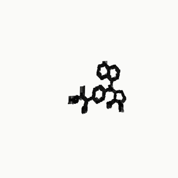 O=C(NO)c1ccc(N(c2cccc3ncccc23)C2CCNC2=O)cc1